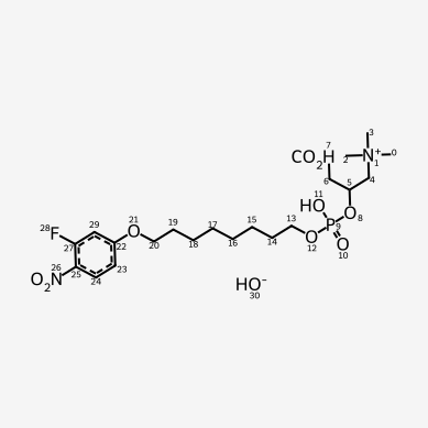 C[N+](C)(C)CC(CC(=O)O)OP(=O)(O)OCCCCCCCCOc1ccc([N+](=O)[O-])c(F)c1.[OH-]